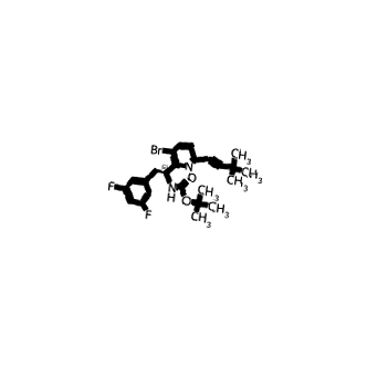 CC(C)(C)C#Cc1ccc(Br)c([C@H](Cc2cc(F)cc(F)c2)NC(=O)OC(C)(C)C)n1